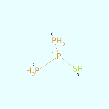 PP(P)S